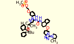 C[C@H]1CCCCN1c1nnc2ccc(O[C@@H]3CC[C@H](NC(=O)Nc4cc(C(C)(C)CO[Si](c5ccccc5)(c5ccccc5)C(C)(C)C)nn4-c4cccc(OCCOS(C)(=O)=O)c4)c4ccccc43)cn12